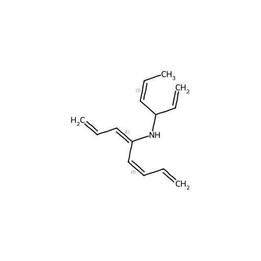 C=C/C=C\C(=C/C=C)NC(C=C)/C=C\C